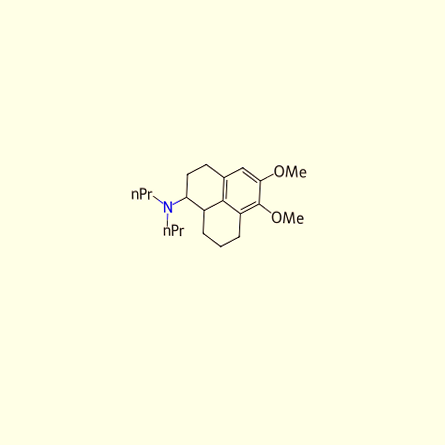 CCCN(CCC)C1CCc2cc(OC)c(OC)c3c2C1CCC3